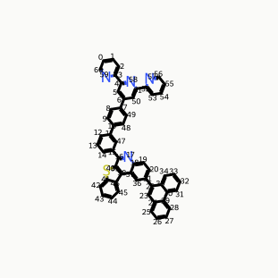 c1ccc(-c2cc(-c3ccc(-c4cccc(-c5nc6ccc(-c7cc8ccccc8c8ccccc78)cc6c6c5sc5ccccc56)c4)cc3)cc(-c3ccccn3)n2)nc1